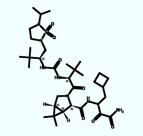 CC(C)N1CCN(C[C@@H](NC(=O)N[C@H](C(=O)N2C[C@H]3[C@@H]([C@H]2C(=O)NC(CC2CCC2)C(=O)C(N)=O)C3(C)C)C(C)(C)C)C(C)(C)C)S1(=O)=O